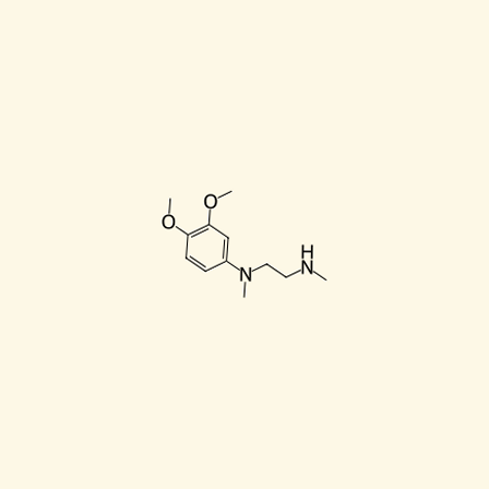 CNCCN(C)c1ccc(OC)c(OC)c1